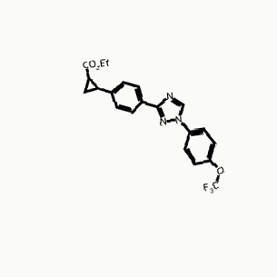 CCOC(=O)C1CC1c1ccc(-c2ncn(-c3ccc(OC(F)(F)F)cc3)n2)cc1